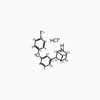 Cl.Fc1ccc(Oc2cccc(C3C4CCNC3C4)c2)cc1